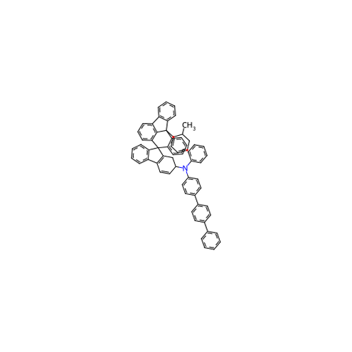 CC1CC=CC=C1C12c3ccccc3-c3cccc(c31)C1(C3=C(C=CC(N(c4ccccc4)c4ccc(-c5ccc(-c6ccccc6)cc5)cc4)C3)c3ccccc31)c1ccccc12